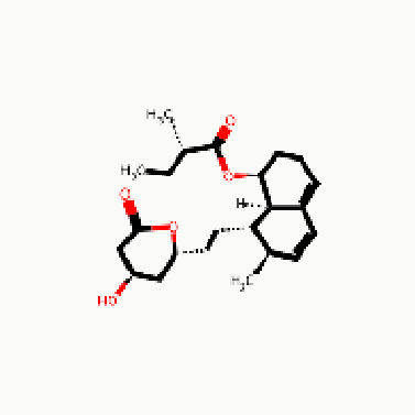 CC[C@H](C)C(=O)O[C@H]1CCC=C2C=C[C@@H](C)[C@H](CC[C@@H]3C[C@@H](O)CC(=O)O3)[C@H]21